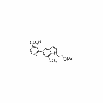 COCCn1ccc2cc(-c3cc(C(=O)O)ccn3)cc([N+](=O)[O-])c21